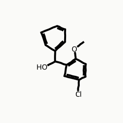 COc1ccc(Cl)cc1C(O)c1ccccc1